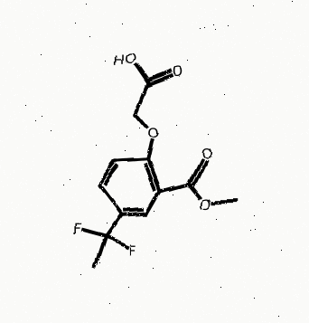 COC(=O)c1cc(C(C)(F)F)ccc1OCC(=O)O